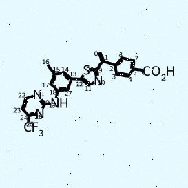 C=C(c1ccc(C(=O)O)cc1)c1ncc(-c2cc(C)cc(Nc3nccc(C(F)(F)F)n3)c2)s1